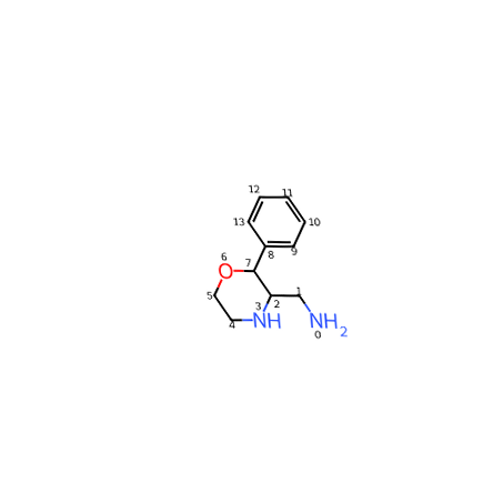 NCC1NCCOC1c1ccccc1